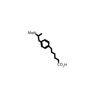 CNC(C)Cc1ccc(CCCCCC(=O)O)cc1